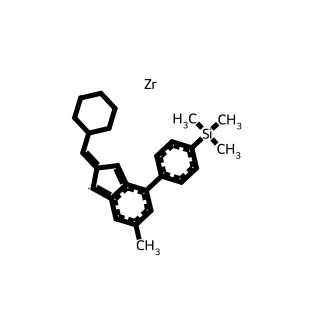 Cc1cc(-c2ccc([Si](C)(C)C)cc2)c2c(c1)=[C]C(=CC1CCCCC1)C=2.[Zr]